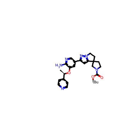 C[C@@H](Oc1cc(-c2cc3n(n2)CCC32CCN(C(=O)OC(C)(C)C)C2)cnc1N)c1ccncc1